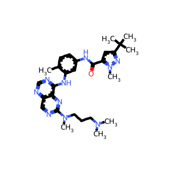 Cc1ccc(NC(=O)c2cc(C(C)(C)C)nn2C)cc1Nc1ncnc2cnc(N(C)CCCN(C)C)nc12